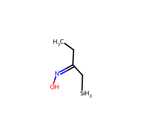 CCC(C[SiH3])=NO